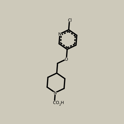 O=C(O)N1CCC(COc2ccc(Cl)nc2)CC1